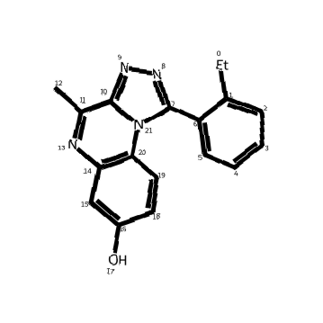 CCc1ccccc1-c1nnc2c(C)nc3cc(O)ccc3n12